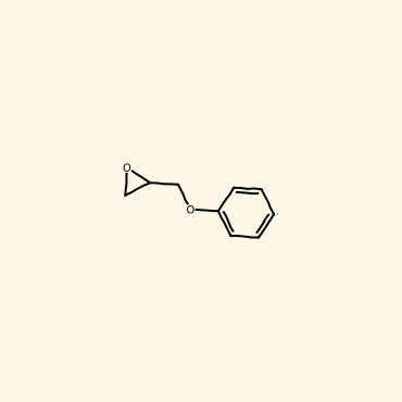 [c]1ccc(OCC2CO2)cc1